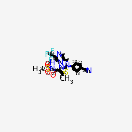 Cc1sc(N(Cc2cnc(C(F)(F)F)cn2)c2ccc(C#N)cc2)nc1C(=O)NS(C)(=O)=O